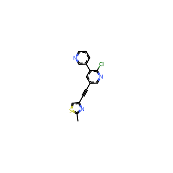 Cc1nc(C#Cc2cnc(Cl)c(-c3cccnc3)c2)cs1